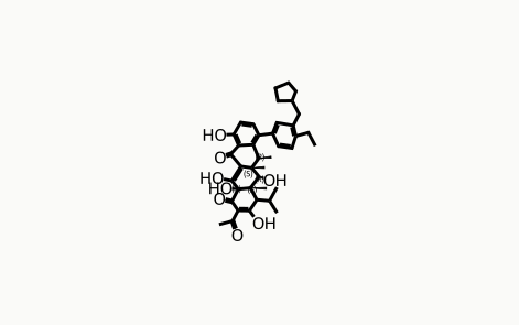 CCc1ccc(-c2ccc(O)c3c2[C@@H](C)[C@@]2(C)C(=C(O)[C@@]4(O)C(=O)C(C(C)=O)=C(O)C(C(C)C)[C@@]4(C)[C@@H]2O)C3=O)cc1CC1CCCC1